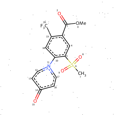 COC(=O)c1cc(S(C)(=O)=O)c(-n2ccc(=O)cc2)cc1C(F)(F)F